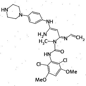 C=C/N=C(\C=C(/N)Nc1ccc(N2CCNCC2)cc1)N(C)C(=O)Nc1c(Cl)c(OC)cc(OC)c1Cl